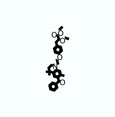 CCOC(=O)C(Cc1ccc(OCCN2CCC(C)(C)c3cc(C(=O)c4ccccc4)c(C)cc32)cc1)OCC